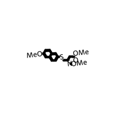 CO/N=C(/CSc1ccc2cc(OC)ccc2c1)CC(=O)OC